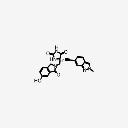 Cn1cc2ccc(C#C[C@]3(CN4Cc5ccc(O)cc5C4=O)NC(=O)NC3=O)cc2n1